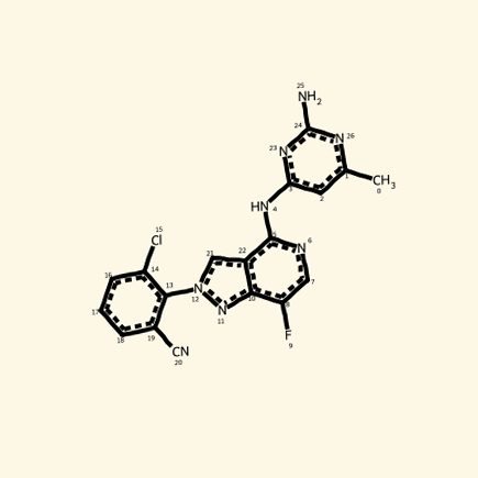 Cc1cc(Nc2ncc(F)c3nn(-c4c(Cl)cccc4C#N)cc23)nc(N)n1